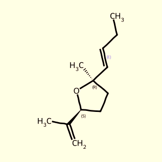 C=C(C)[C@@H]1CC[C@](C)(/C=C/CC)O1